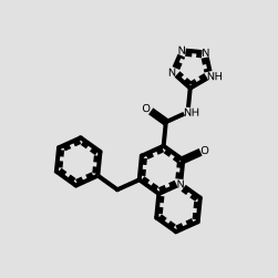 O=C(Nc1nnn[nH]1)c1cc(Cc2ccccc2)c2ccccn2c1=O